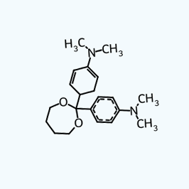 CN(C)C1=CCC(C2(c3ccc(N(C)C)cc3)OCCCCO2)C=C1